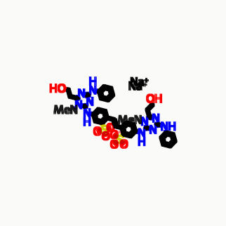 CNN1C(CCO)=NC(Nc2ccccc2)=NC1Nc1ccc(C=Cc2ccc(NC3N=C(Nc4ccccc4)N=C(CCO)N3NC)cc2S(=O)(=O)[O-])c(S(=O)(=O)[O-])c1.[Na+].[Na+]